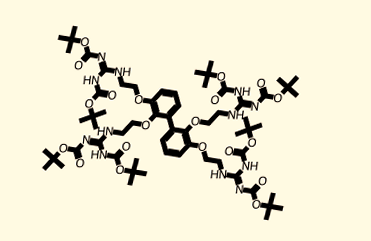 CC(C)(C)OC(=O)/N=C(/NCCOc1cccc(-c2cccc(OCCN/C(=N/C(=O)OC(C)(C)C)NC(=O)OC(C)(C)C)c2OCCN/C(=N/C(=O)OC(C)(C)C)NC(=O)OC(C)(C)C)c1OCCN/C(=N/C(=O)OC(C)(C)C)NC(=O)OC(C)(C)C)NC(=O)OC(C)(C)C